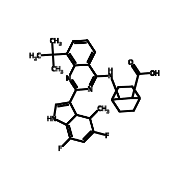 CC1C(F)=CC(F)=C2NC=C(c3nc(NC4C5CCC(CC5)C4C(=O)O)c4cccc(C(C)(C)C)c4n3)C21